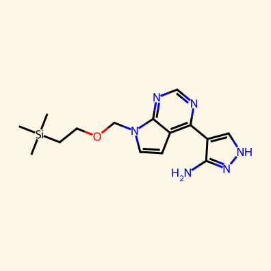 C[Si](C)(C)CCOCn1ccc2c(-c3c[nH]nc3N)ncnc21